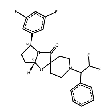 O=C1N2[C@@H](CC[C@H]2c2cc(F)cc(F)c2)OC12CCN(C(c1ccccc1)C(F)F)CC2